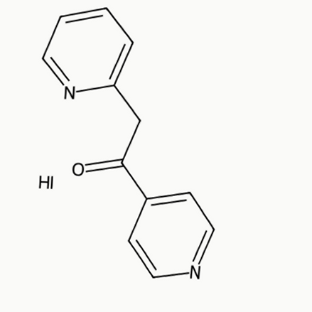 I.O=C(Cc1ccccn1)c1ccncc1